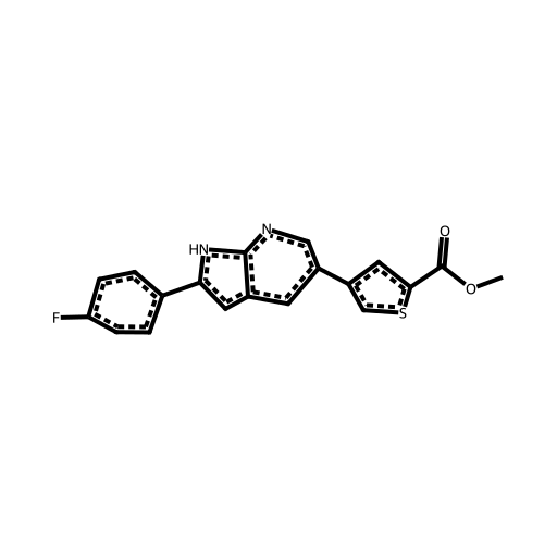 COC(=O)c1cc(-c2cnc3[nH]c(-c4ccc(F)cc4)cc3c2)cs1